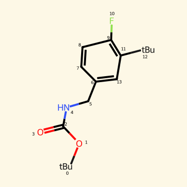 CC(C)(C)OC(=O)NCc1ccc(F)c(C(C)(C)C)c1